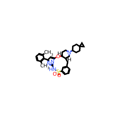 Cc1cccc(C)c1-c1cc2nc(n1)NS(=O)(=O)c1cccc(c1)C[C@@H]1CN(C3CCC4(CC3)CC4)CC[C@H]1O2